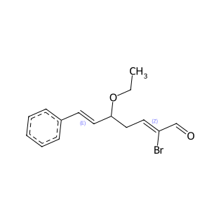 CCOC(/C=C/c1ccccc1)C/C=C(\Br)C=O